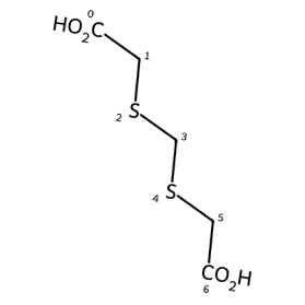 O=C(O)CSCSCC(=O)O